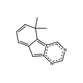 CC1(C)C=CC=C2C=c3ncncc3=C21